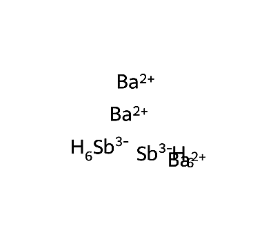 [Ba+2].[Ba+2].[Ba+2].[SbH6-3].[SbH6-3]